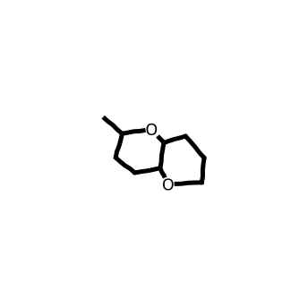 CC1CCC2OCCCC2O1